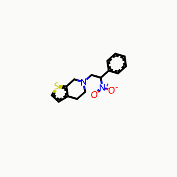 O=[N+]([O-])C(CN1CCc2ccsc2C1)c1ccccc1